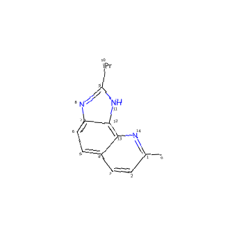 Cc1ccc2ccc3nc(C(C)C)[nH]c3c2n1